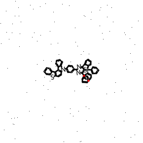 c1ccc(-c2nc(-c3ccc(-n4c5ccccc5c5c6c(ccc54)sc4ccccc46)cc3)nc3c2[Si](c2ccccc2)(c2ccccc2)c2ccccc2-3)cc1